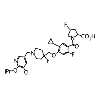 CC(C)Oc1ncc(CN2CCC(F)(COc3cc(F)c(C(=O)N4CC(F)CC4C(=O)O)cc3C3CC3)CC2)cc1Cl